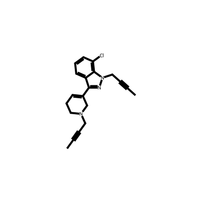 CC#CCN1CCC=C(c2nn(CC#CC)c3c(Cl)cccc23)C1